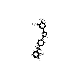 Cc1ccc(-c2csc(N3CCC(S(=O)(=O)c4cccc(Cl)c4Cl)CC3)n2)cc1C